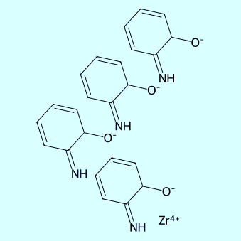 N=C1C=CC=CC1[O-].N=C1C=CC=CC1[O-].N=C1C=CC=CC1[O-].N=C1C=CC=CC1[O-].[Zr+4]